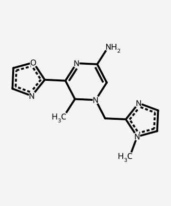 CC1C(c2ncco2)=NC(N)=CN1Cc1nccn1C